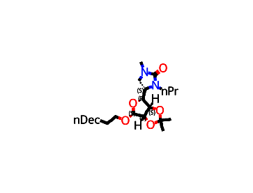 CCCCCCCCCCCCO[C@H]1O[C@H]([C@@H]2CN(C)C(=O)N2CCC)[C@@H]2OC(C)(C)O[C@H]12